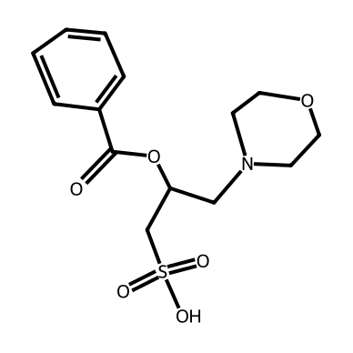 O=C(OC(CN1CCOCC1)CS(=O)(=O)O)c1ccccc1